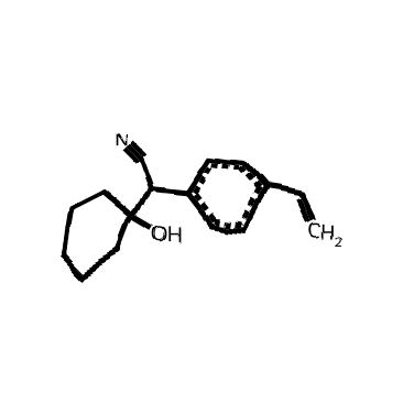 C=Cc1ccc(C(C#N)C2(O)CCCCC2)cc1